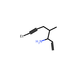 C=CC(N)C(C)CC#CCC